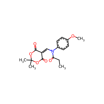 CCC(=O)N(C=C1C(=O)OC(C)(C)OC1=O)c1ccc(OC)cc1